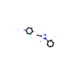 C[C@H](Oc1c(F)cc(N)cc1F)c1nnc(-c2ccccc2C(F)(F)F)n1C